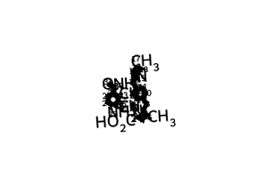 CCn1c(C(=O)O)cc(C)c1Cc1ccc(Cn2cc(C)cn2)cc1.Cc1c(N)ccc(C(N)=O)c1C